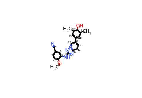 COc1ccc(C#N)cc1Nc1nc2ccc(-c3cc(C)c(O)c(C)c3)cn2n1